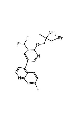 CC(C)CC(C)(N)COc1ncc(-c2ccnc3cc(F)ccc23)cc1C(F)F